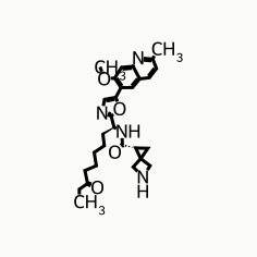 CCC(=O)CCCCC[C@H](NC(=O)[C@@H]1CC12CNC2)c1ncc(-c2cc3ccc(C)nc3cc2OC)o1